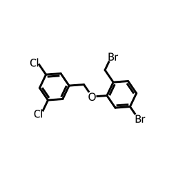 Clc1cc(Cl)cc(COc2cc(Br)ccc2CBr)c1